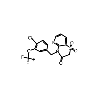 O=C1CS(=O)(=O)c2cccnc2N1Cc1ccc(Cl)c(OC(F)(F)F)c1